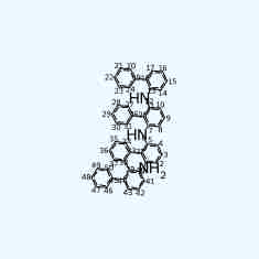 Nc1cccc(Nc2cccc(Nc3ccccc3-c3ccccc3)c2-c2ccccc2)c1-c1ccccc1-c1ccccc1-c1ccccc1